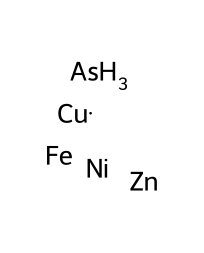 [AsH3].[Cu].[Fe].[Ni].[Zn]